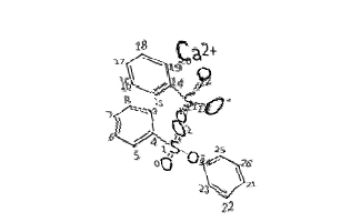 O=S(=O)([O-])c1ccccc1.O=S(=O)([O-])c1ccccc1.[Ca+2].c1ccccc1